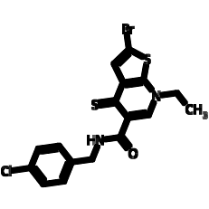 CCn1cc(C(=O)NCc2ccc(Cl)cc2)c(=S)c2cc(Br)sc21